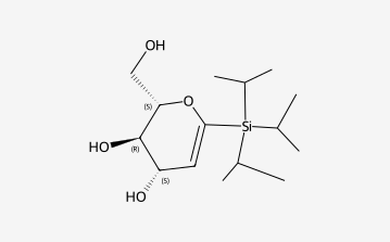 CC(C)[Si](C1=C[C@H](O)[C@@H](O)[C@H](CO)O1)(C(C)C)C(C)C